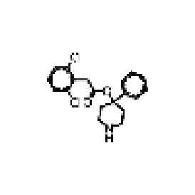 O=C(Cc1c(Cl)cccc1Cl)OC1(c2ccccc2)CCNCC1